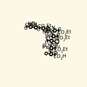 CCOC(=O)C(=O)c1ccc(C(C)(C)C)c([N+](=O)[O-])c1.CCOC(=O)C(=O)c1ccc(C(C)C)c([N+](=O)[O-])c1.CCOC(=O)C(=O)c1ccc(C2CCCCC2C)c([N+](=O)[O-])c1.CCOC(=O)C(=O)c1ccc(C2CCCCCC2)c([N+](=O)[O-])c1.CCOC(=O)C(=O)c1ccc(CC(C)C)c([N+](=O)[O-])c1.CCc1c(-c2ccccc2)ccc(C(=O)C(=O)O)c1[N+](=O)[O-].O=C(O)C(=O)c1ccc(C2CCCC2)c([N+](=O)[O-])c1